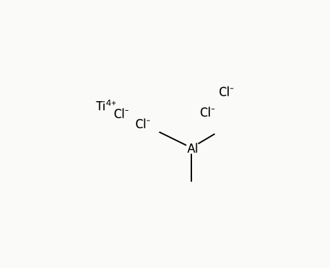 [CH3][Al]([CH3])[CH3].[Cl-].[Cl-].[Cl-].[Cl-].[Ti+4]